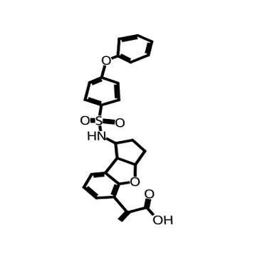 C=C(C(=O)O)c1cccc2c1OC1CCC(NS(=O)(=O)c3ccc(Oc4ccccc4)cc3)C21